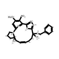 COc1cc2nc(c1[N+](=O)[O-])-c1nnc(o1)C(OCc1ccccc1)(C(F)(F)F)CCC=CC[C@@H]1CCCN21